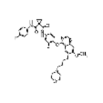 COc1cc2ncnc(Oc3ccc(NC(=O)C4(C(=O)Nc5ccc(F)cc5)CC4)cc3F)c2cc1CCCCN1CCOCC1